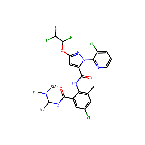 CCC(NC(=O)c1cc(Cl)cc(C)c1NC(=O)c1cc(OC(F)C(F)F)nn1-c1ncccc1Cl)N(C#N)SC